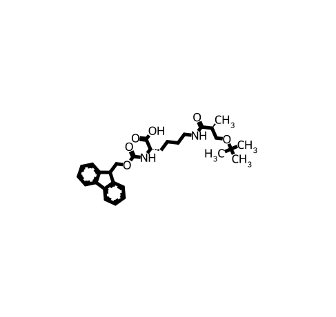 C[C@H](COC(C)(C)C)C(=O)NCCCC[C@H](NC(=O)OCC1c2ccccc2-c2ccccc21)C(=O)O